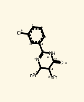 CCCC1N=C(c2cccc(Cl)c2)NC(=O)C1CCC